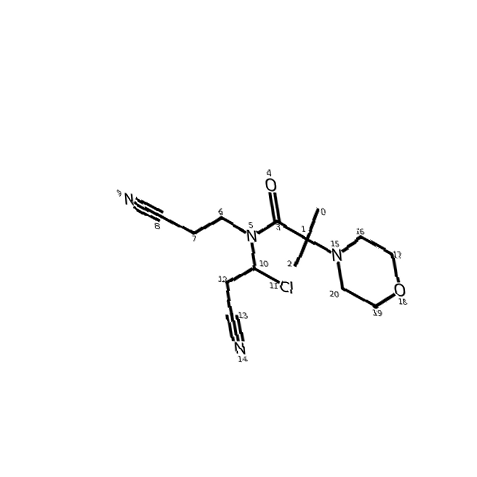 CC(C)(C(=O)N(CCC#N)C(Cl)CC#N)N1CCOCC1